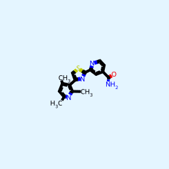 Cc1cc(C)c(-c2csc(-c3cc(C(N)=O)ccn3)n2)c(C)n1